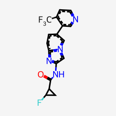 O=C(Nc1cn2cc(-c3cnccc3C(F)(F)F)ccc2n1)C1CC1F